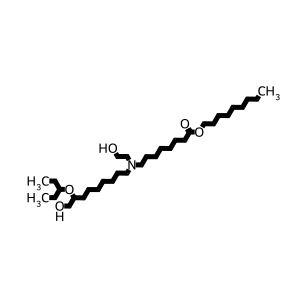 CCCCCCCCCOC(=O)CCCCCCCN(CCO)CCCCCCCC(CO)OC(CC)CC